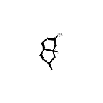 CC1C=CC2=CC=C(N)CC2(C)C1